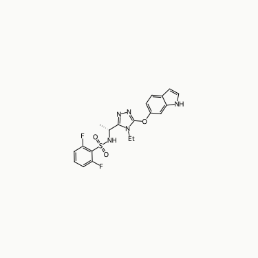 CCn1c(Oc2ccc3cc[nH]c3c2)nnc1[C@@H](C)NS(=O)(=O)c1c(F)cccc1F